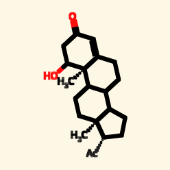 CC(=O)[C@H]1CCC2C3CCC4=CC(=O)CC(O)[C@]4(C)C3CC[C@@]21C